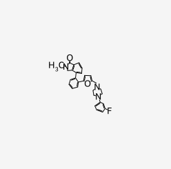 CN1Cc2c(cccc2-c2ccccc2-c2ccc(CN3CCN(c4cccc(F)c4)CC3)o2)C1=O